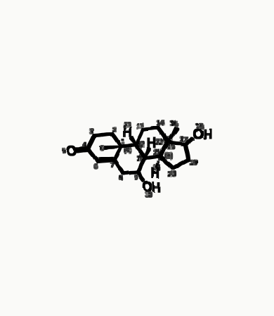 C[C@]12CCC(=O)C=C1CC(O)[C@@H]1[C@H]2CC[C@]2(C)C(O)CC[C@@H]12